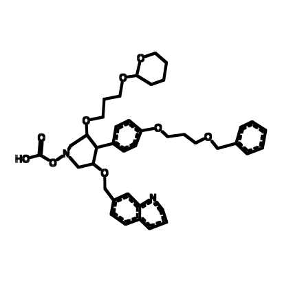 O=C(O)ON1CC(OCCCOC2CCCCO2)C(c2ccc(OCCCOCc3ccccc3)cc2)C(OCc2ccc3cccnc3c2)C1